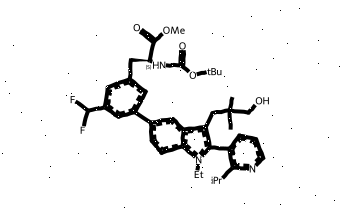 CCn1c(-c2cccnc2C(C)C)c(CC(C)(C)CO)c2cc(-c3cc(C[C@H](NC(=O)OC(C)(C)C)C(=O)OC)cc(C(F)F)c3)ccc21